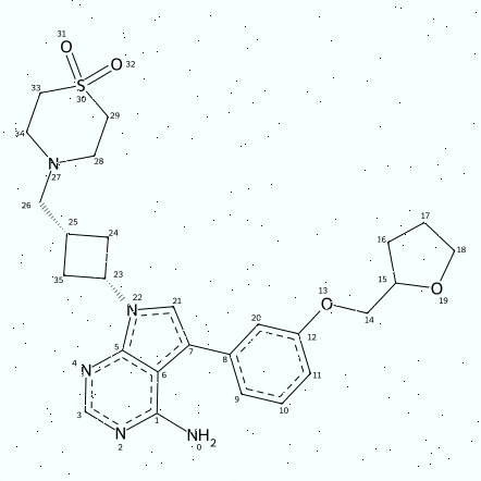 Nc1ncnc2c1c(-c1cccc(OCC3CCCO3)c1)cn2[C@H]1C[C@@H](CN2CCS(=O)(=O)CC2)C1